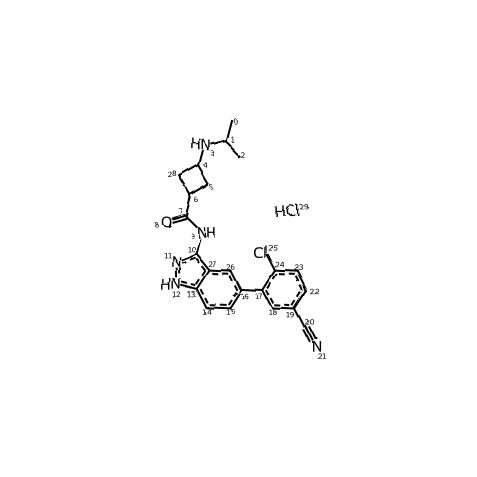 CC(C)NC1CC(C(=O)Nc2n[nH]c3ccc(-c4cc(C#N)ccc4Cl)cc23)C1.Cl